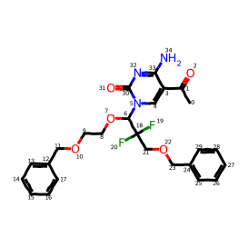 CC(=O)c1cn(C(OCCOCc2ccccc2)C(F)(F)COCc2ccccc2)c(=O)nc1N